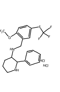 COc1ccc(SC(F)(F)F)cc1CNC1CCCNC1c1ccccc1.Cl.Cl